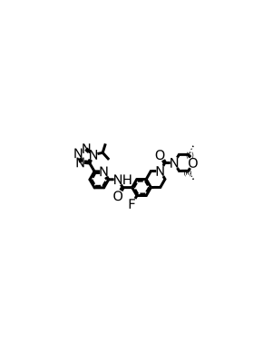 CC(C)n1nnnc1-c1cccc(NC(=O)c2cc3c(cc2F)CCN(C(=O)N2C[C@@H](C)O[C@@H](C)C2)C3)n1